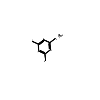 Cc1cc(C)cc(C)c1.[Ru+2]